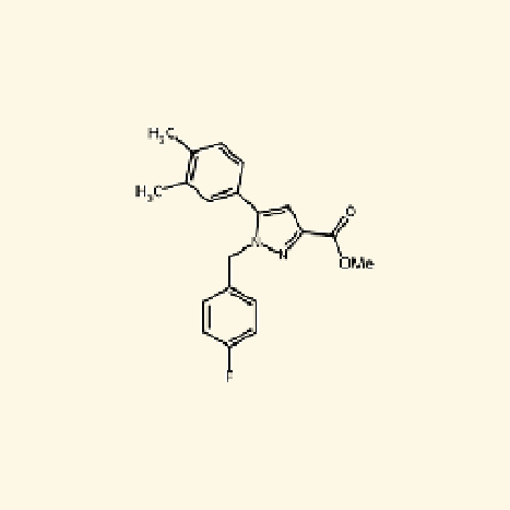 COC(=O)c1cc(-c2ccc(C)c(C)c2)n(Cc2ccc(F)cc2)n1